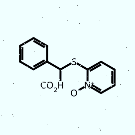 O=C(O)C(Sc1cccc[n+]1[O-])c1ccccc1